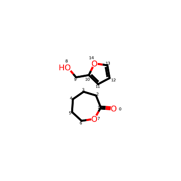 O=C1CCCCCO1.OCc1ccco1